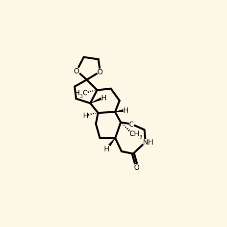 C[C@]12CCNC(=O)C[C@@H]1CC[C@@H]1[C@@H]2CC[C@@]2(C)[C@H]1CCC21OCCO1